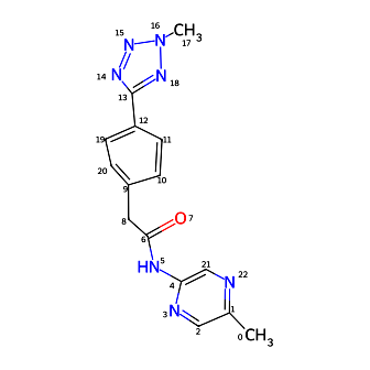 Cc1cnc(NC(=O)Cc2ccc(-c3nnn(C)n3)cc2)cn1